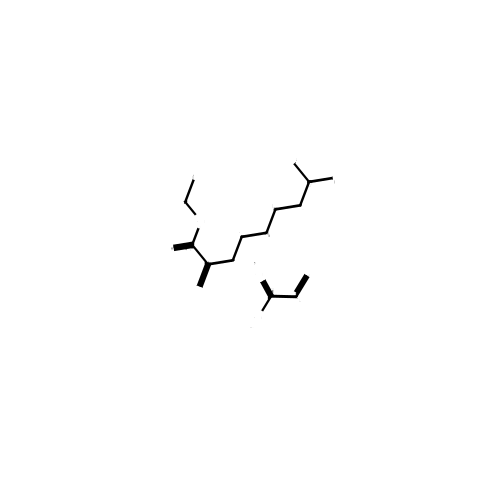 C=C(CCCCCC(C)C)C(=O)OCC.C=CC(=O)O